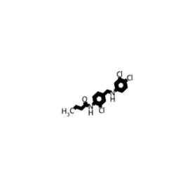 CCCC(=O)Nc1ccc(CNc2ccc(Cl)c(Cl)c2)cc1Cl